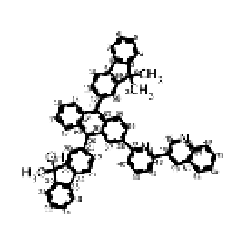 CC1(C)c2ccccc2-c2ccc(-c3c4ccccc4c(-c4ccc5c(c4)C(C)(C)c4ccccc4-5)c4cc(-c5cccc(-c6cnc7ccccc7c6)n5)ccc34)cc21